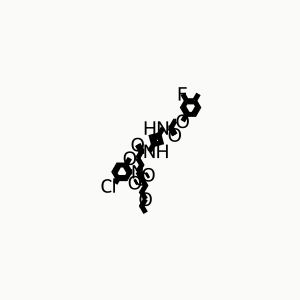 CCOCCS(=O)(=O)N1CC(C(=O)NC23CC(NC(=O)COc4ccc(C)c(F)c4)(C2)C3)Oc2ccc(Cl)cc21